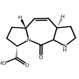 O=C(O)[C@@H]1CC[C@@H]2C=C[C@H]3CCNC3C(=O)N21